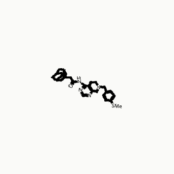 CSc1ccc(CN2CCc3c(ncnc3NC(=O)CC34CC5CC(CC(C5)C3)C4)C2)cc1